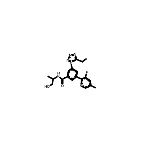 CCc1nnnn1-c1cc(C(=O)NC(C)CO)cc(-c2ncc(C)cc2F)c1